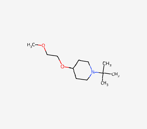 COCCOC1CCN(C(C)(C)C)CC1